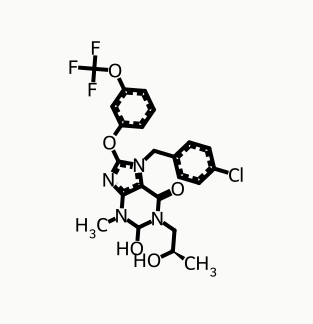 C[C@@H](O)CN1C(=O)c2c(nc(Oc3cccc(OC(F)(F)F)c3)n2Cc2ccc(Cl)cc2)N(C)C1O